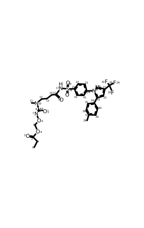 CCC(=O)OCON=[N+]([O-])N(C)CCCC(=O)NS(=O)(=O)c1ccc(-n2nc(C(F)(F)F)cc2-c2ccc(C)cc2)cc1